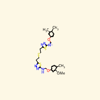 COc1cc(OCNc2nnc(CCSCCc3nnc(/N=C\Oc4ccc(C)c(C)c4)s3)s2)ccc1C